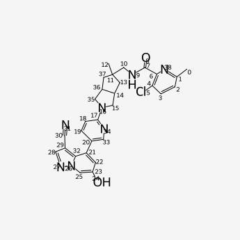 Cc1ccc(Cl)c(C(=O)NCC2(C)CC3CN(c4ccc(-c5cc(O)cn6ncc(C#N)c56)cn4)CC3C2)n1